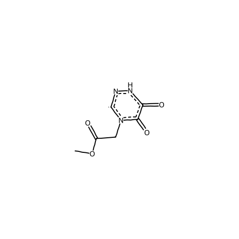 COC(=O)Cn1[c]n[nH]c(=O)c1=O